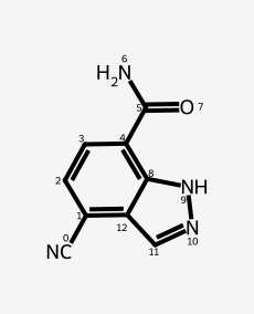 N#Cc1ccc(C(N)=O)c2[nH]ncc12